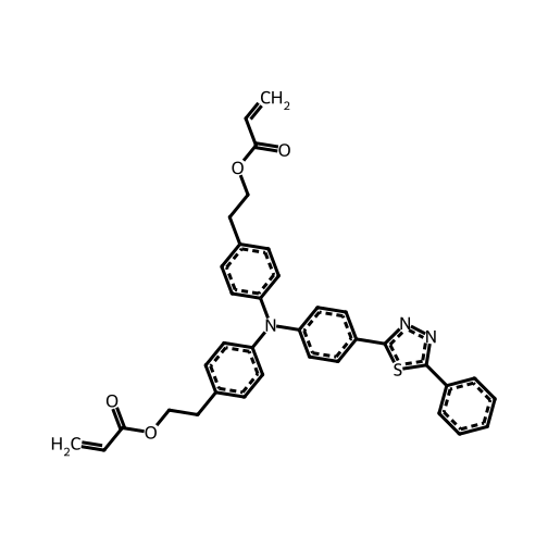 C=CC(=O)OCCc1ccc(N(c2ccc(CCOC(=O)C=C)cc2)c2ccc(-c3nnc(-c4ccccc4)s3)cc2)cc1